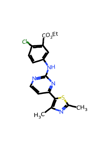 CCOC(=O)c1cc(Nc2nccc(-c3sc(C)nc3C)n2)ccc1Cl